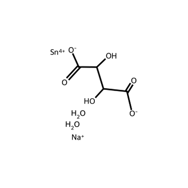 O.O.O=C([O-])C(O)C(O)C(=O)[O-].[Na+].[Sn+4]